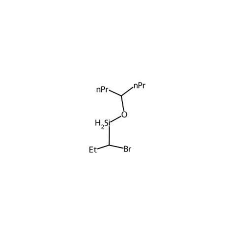 CCCC(CCC)O[SiH2]C(Br)CC